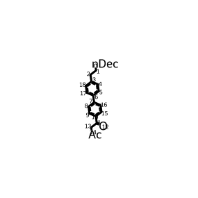 CCCCCCCCCCCCc1ccc(-c2ccc(C(=O)CC(C)=O)cc2)cc1